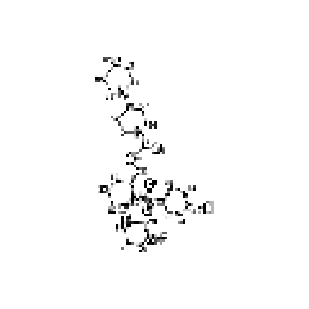 C=C1CCN(C2CCN(C(=O)OCC3CCCC(c4cccc(F)c4)N3S(=O)(=O)c3ccc(Cl)cc3)CC2)CC1